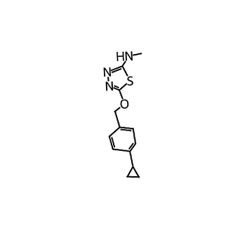 CNc1nnc(OCc2ccc(C3CC3)cc2)s1